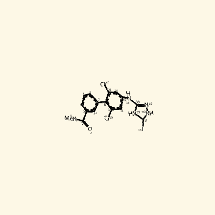 CNC(=O)c1cccc(-c2c(Cl)cc(NC3=NNC(I)N3)cc2Cl)c1